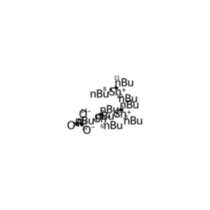 CCC[CH2][Sn+]([CH2]CCC)[CH2]CCC.CCC[CH2][Sn+]([CH2]CCC)[CH2]CCC.CCC[CH2][Sn+]([CH2]CCC)[CH2]CCC.[O-]P([O-])[O-]